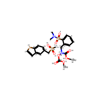 CN(C)S(=O)(=O)c1ccccc1[C@@H](CS(=O)(=O)Cc1ccc2sccc2c1)N(OC(=O)OC(C)(C)C)C(=O)OC(C)(C)C